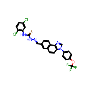 FC(F)(F)Oc1ccc(-n2cnc3c4ccc(C=NNC(=S)Nc5cc(Cl)ccc5Cl)cc4ccc32)cc1